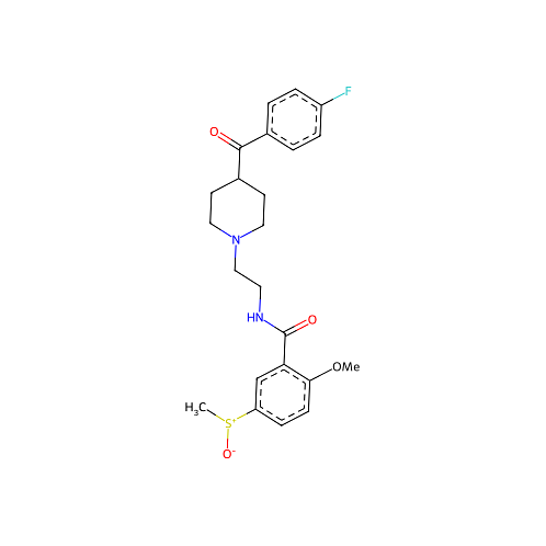 COc1ccc([S+](C)[O-])cc1C(=O)NCCN1CCC(C(=O)c2ccc(F)cc2)CC1